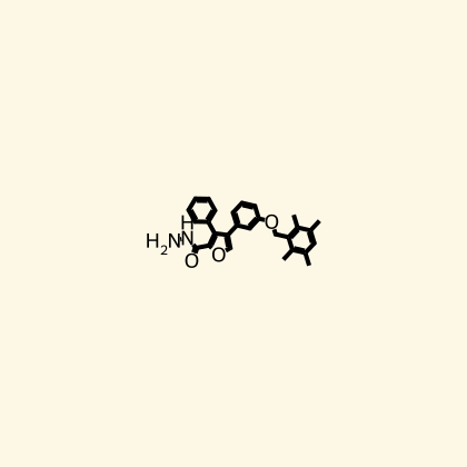 Cc1cc(C)c(C)c(COc2cccc(-c3coc(C(=O)NN)c3-c3ccccc3)c2)c1C